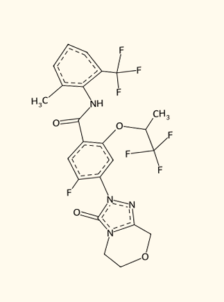 Cc1cccc(C(F)(F)F)c1NC(=O)c1cc(F)c(-n2nc3n(c2=O)CCOC3)cc1OC(C)C(F)(F)F